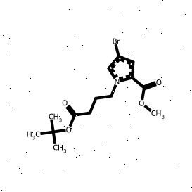 COC(=O)c1cc(Br)cn1CCCC(=O)OC(C)(C)C